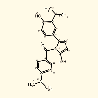 CC(C)c1cc(-c2nnc(S)n2C(=O)c2ccc(N(C)C)nc2)ccc1O